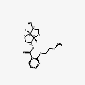 O=C(O[C@@H]1CO[C@H]2[C@@H]1OC[C@@H]2O)c1cccnc1SCCO[N+](=O)[O-]